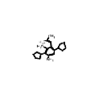 CC(C)=Cc1c(C2CCCC2)cc(N)c(C2CCCC2)c1N